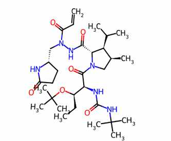 C=CC(=O)N(C[C@@H]1CCC(=O)N1)NC(=O)[C@@H]1[C@@H](C(C)C)[C@@H](C)CN1C(=O)[C@@H](NC(=O)NC(C)(C)C)[C@@H](CC)OC(C)(C)C